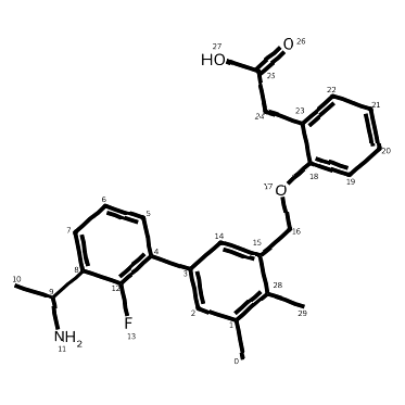 Cc1cc(-c2cccc(C(C)N)c2F)cc(COc2ccccc2CC(=O)O)c1C